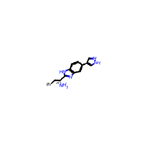 CC(C)C[C@@H](N)c1nc2cc(-c3cn[nH]c3)ccc2[nH]1